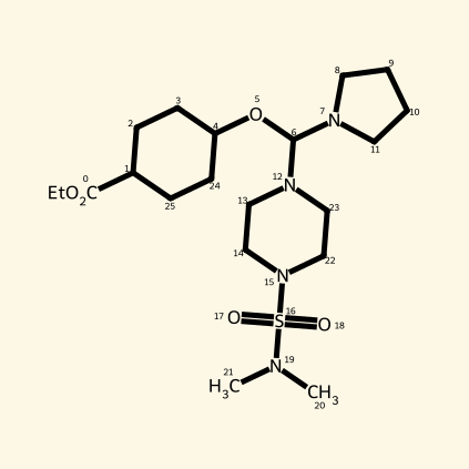 CCOC(=O)C1CCC(OC(N2CCCC2)N2CCN(S(=O)(=O)N(C)C)CC2)CC1